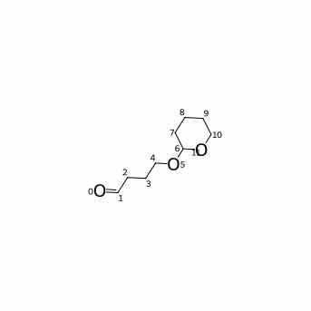 O=CCCCOC1CCCCO1